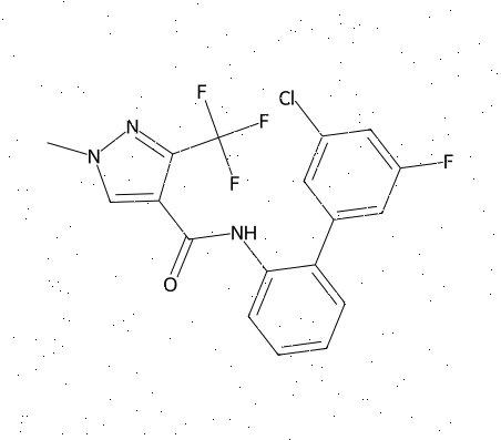 Cn1cc(C(=O)Nc2ccccc2-c2cc(F)cc(Cl)c2)c(C(F)(F)F)n1